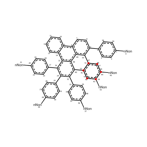 CCCCCCCCCc1ccc(-c2ccc3c4ccccc4c4c(-c5ccc(CCCCCCCCC)cc5)c(-c5ccc(CCCCCCCCC)cc5)c(-c5ccc(CCCCCCCCC)cc5)c(-c5ccc(CCCCCCCCC)cc5)c4c3c2-c2ccc(CCCCCCCCC)cc2)cc1